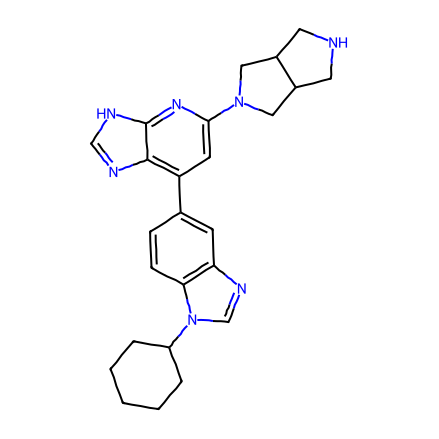 c1nc2c(-c3ccc4c(c3)ncn4C3CCCCC3)cc(N3CC4CNCC4C3)nc2[nH]1